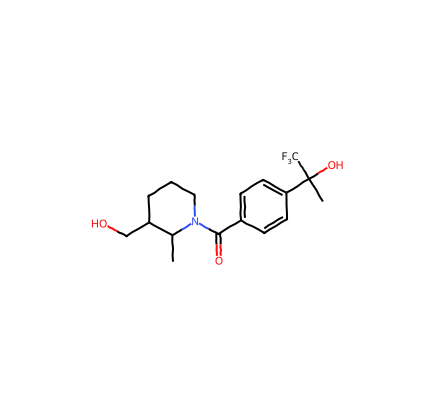 CC1C(CO)CCCN1C(=O)c1ccc(C(C)(O)C(F)(F)F)cc1